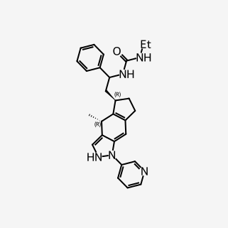 CCNC(=O)NC(C[C@H]1CCC2=C1[C@@H](C)C1=CNN(c3cccnc3)C1=C2)c1ccccc1